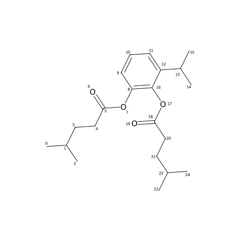 CC(C)CCC(=O)Oc1cccc(C(C)C)c1OC(=O)CCC(C)C